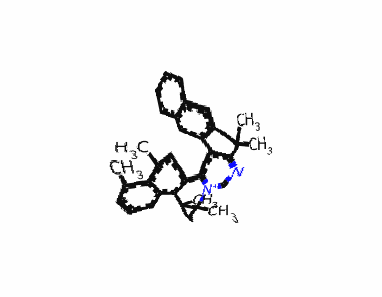 Cc1cccc2c3c(cc(C)c12)-c1c2c(nc[n+]1C1(C)CC31C)C(C)(C)c1cc3ccccc3cc1-2